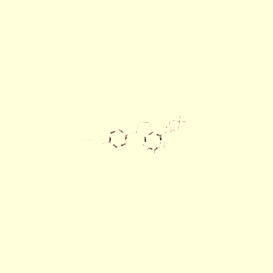 FCOc1ccc(C2CCc3c2nc(Cl)nc3N2CC(F)(F)C2)cc1